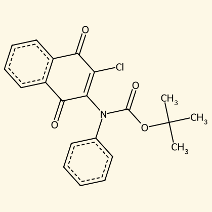 CC(C)(C)OC(=O)N(C1=C(Cl)C(=O)c2ccccc2C1=O)c1ccccc1